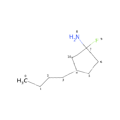 CCCCC1CCC(N)(F)C1